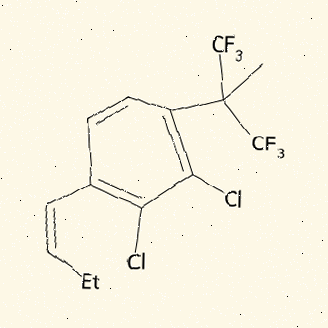 CC/C=C\c1ccc(C(C)(C(F)(F)F)C(F)(F)F)c(Cl)c1Cl